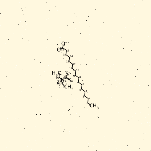 CCCCCCCCCCCCCCCCCC(=O)[O-].CCN(CC)C(=S)[S-].[Zn+2]